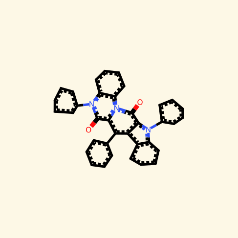 O=c1c2c(-c3ccccc3)c3c4ccccc4n(-c4ccccc4)c3c(=O)n2c2ccccc2n1-c1ccccc1